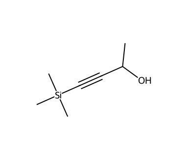 CC(O)C#C[Si](C)(C)C